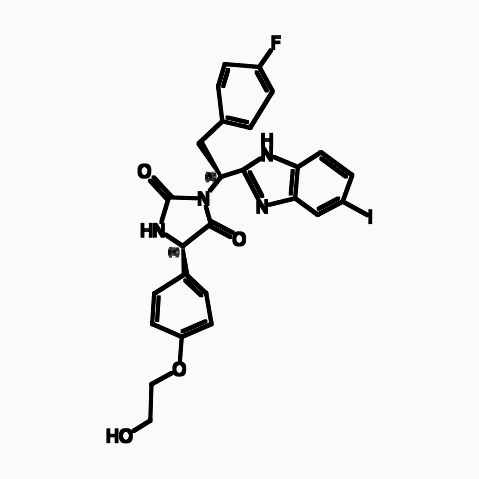 O=C1N[C@H](c2ccc(OCCO)cc2)C(=O)N1[C@@H](Cc1ccc(F)cc1)c1nc2cc(I)ccc2[nH]1